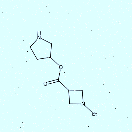 CCN1CC(C(=O)OC2CCNC2)C1